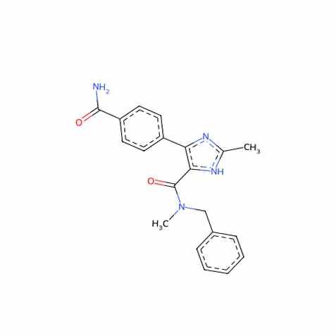 Cc1nc(-c2ccc(C(N)=O)cc2)c(C(=O)N(C)Cc2ccccc2)[nH]1